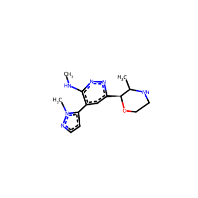 CNc1nnc([C@@H]2OCCNC2C)cc1-c1ccnn1C